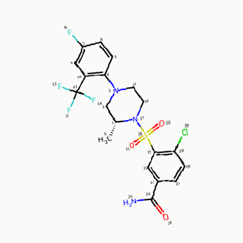 C[C@@H]1CN(c2ccc(F)cc2C(F)(F)F)CCN1S(=O)(=O)c1cc(C(N)=O)ccc1Cl